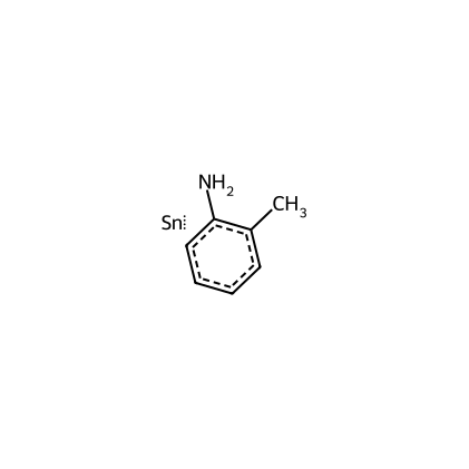 Cc1ccccc1N.[Sn]